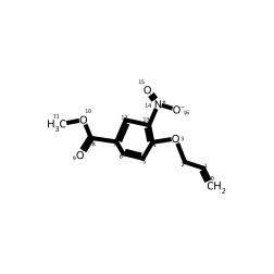 C=CCOc1ccc(C(=O)OC)cc1[N+](=O)[O-]